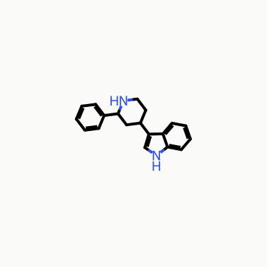 c1ccc(C2CC(c3c[nH]c4ccccc34)CCN2)cc1